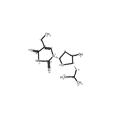 CCc1cn([C@@H]2CC(O)[C@H](CC(C)N)O2)c(=O)[nH]c1=O